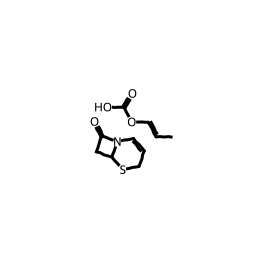 CC=COC(=O)O.O=C1CC2SCC=CN12